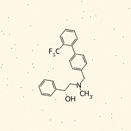 CN(Cc1ccc(-c2ccccc2C(F)(F)F)cc1)C[C@H](O)c1ccccc1